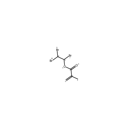 C=C(C)C(=O)OC(Br)C(Br)Br